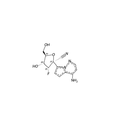 N#C[C@@]1(c2ccc3c(N)ccnn23)O[C@H](CO)[C@@H](O)[C@H]1F